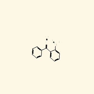 O=C=C(c1ccccc1)c1ccccc1[N+](=O)[O-]